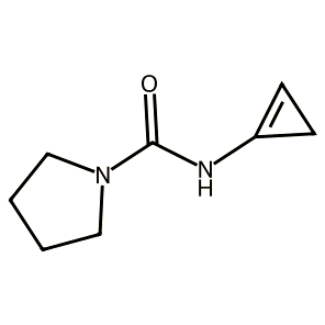 O=C(NC1=CC1)N1CCCC1